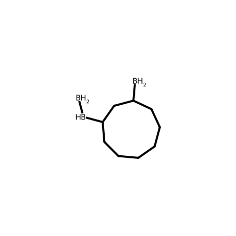 BBC1CCCCCCC(B)C1